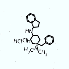 CN(C)C1(Cc2ccccc2)CCC(NC2CCc3ccccc32)CC1.Cl.Cl